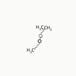 CCCCCCc1ccc(C2=CCC(CCC(CC)CC)CC2)cc1